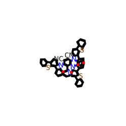 N#Cc1c(C#N)c(-n2c3ccccc3c3c4sc5ccccc5c4ccc32)c(-n2c3ccccc3c3c4sc5ccccc5c4ccc32)c(-c2ccccn2)c1-n1c2ccccc2c2c3sc4ccccc4c3ccc21